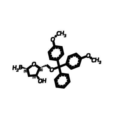 B[C@H]1C[C@H](O)[C@@H](COC(c2ccccc2)(c2ccc(OC)cc2)c2ccc(OC)cc2)O1